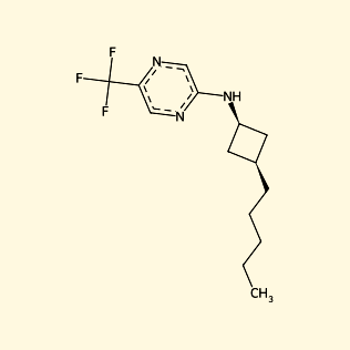 CCCCC[C@H]1C[C@@H](Nc2cnc(C(F)(F)F)cn2)C1